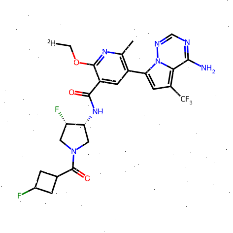 [2H]COc1nc(C)c(-c2cc(C(F)(F)F)c3c(N)ncnn23)cc1C(=O)N[C@@H]1CN(C(=O)C2CC(F)C2)C[C@@H]1F